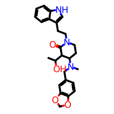 CC(O)C1C(=O)N(CCc2c[nH]c3ccccc23)CCC1N(C)Cc1ccc2c(c1)OCO2